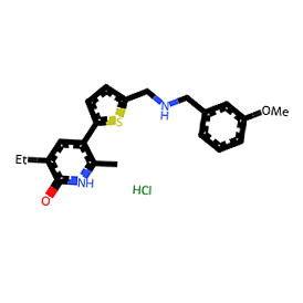 CCc1cc(-c2ccc(CNCc3cccc(OC)c3)s2)c(C)[nH]c1=O.Cl